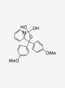 CCC(O)(O)OC(c1ccccc1)(c1ccc(OC)cc1)c1ccc(OC)cc1